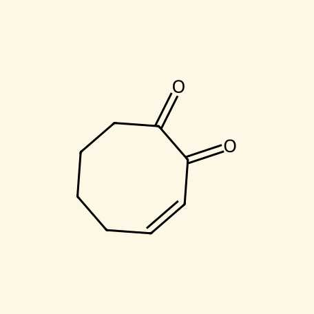 O=C1C=CCCCCC1=O